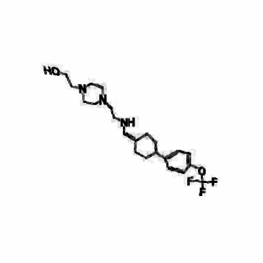 OCCN1CCN(CCNC=C2CCC(c3ccc(OC(F)(F)F)cc3)CC2)CC1